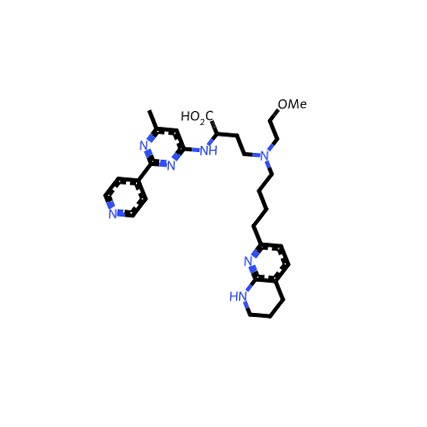 COCCN(CCCCc1ccc2c(n1)NCCC2)CCC(Nc1cc(C)nc(-c2ccncc2)n1)C(=O)O